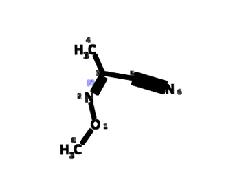 CO/N=C(/C)C#N